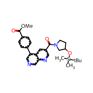 COC(=O)c1ccc(-c2cncc3ncc(C(=O)N4CCC(O[Si](C)(C)C(C)(C)C)C4)cc23)cc1